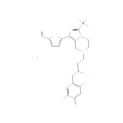 Cl.NC(CCN1CCn2c(C(F)(F)F)nc(-c3ccc(C=O)o3)c2C1)Cc1cc(F)c(F)cc1F